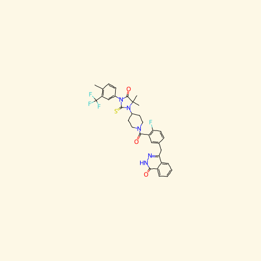 Cc1ccc(N2C(=O)C(C)(C)N(C3CCN(C(=O)c4cc(Cc5n[nH]c(=O)c6ccccc56)ccc4F)CC3)C2=S)cc1C(F)(F)F